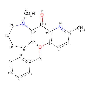 Cc1ccc(OCc2ccccc2)c(C(=O)C2CCCCCN2C(=O)O)n1